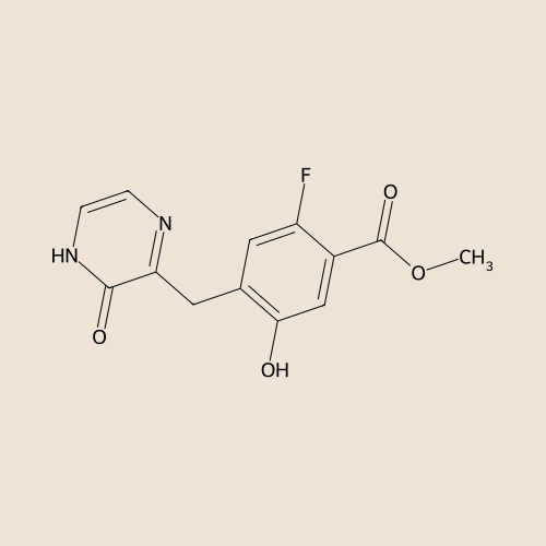 COC(=O)c1cc(O)c(Cc2ncc[nH]c2=O)cc1F